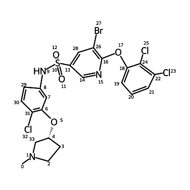 CN1CC[C@@H](Oc2cc(NS(=O)(=O)c3cnc(Oc4cccc(Cl)c4Cl)c(Br)c3)ccc2Cl)C1